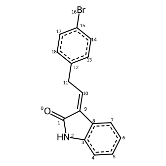 O=C1Nc2ccccc2C1=CCc1ccc(Br)cc1